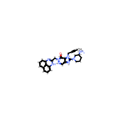 CC#CCn1c(N2CCCC(N)C2)nc2cnn(CC3=Nc4cccc5cccc(c45)N3)c(=O)c21